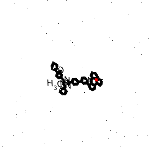 CN1C(c2ccc3c(c2)oc2ccccc23)=NC(c2ccc(-c3ccc4c(c3)c3cccc(-c5ccccc5)c3n4-c3ccccc3)cc2)=NC1c1ccccc1